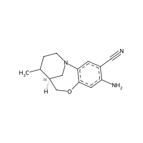 CC1CCN2C[C@H]1COc1cc(N)c(C#N)cc12